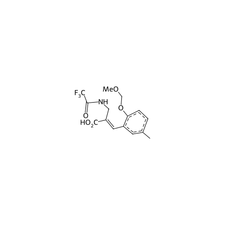 COCOc1ccc(C)cc1/C=C(\CNC(=O)C(F)(F)F)C(=O)O